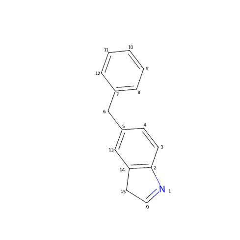 C1=Nc2ccc(Cc3ccccc3)cc2C1